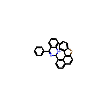 c1ccc(C2=NC(c3cccc4ccc5sc6ccccc6c5c34)Nc3ccccc32)cc1